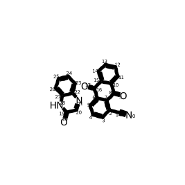 N#Cc1cccc2c1C(=O)c1ccccc1C2=O.O=c1cnc2ccccc2[nH]1